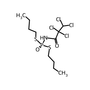 CCCCSP(=O)(NC(=O)C(Cl)(Cl)C(Cl)Cl)SCCCC